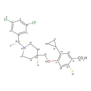 C[C@H](c1cc(Cl)cc(Cl)c1)N1CCC(F)(COc2cc(F)c(C(=O)O)cc2C2CC2)CC1